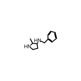 CC1NCCC1NCc1ccccc1